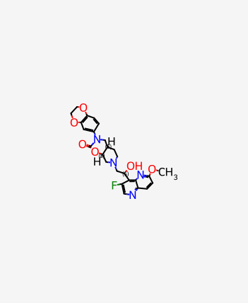 COc1ccc2ncc(F)c([C@H](O)CN3CC[C@H]4CN(c5ccc6c(c5)OCCO6)C(=O)O[C@@H]4C3)c2n1